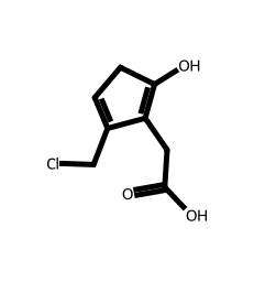 O=C(O)CC1=C(O)CC=C1CCl